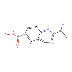 COC(=O)c1ccc2nc(C(C)C)ccc2c1